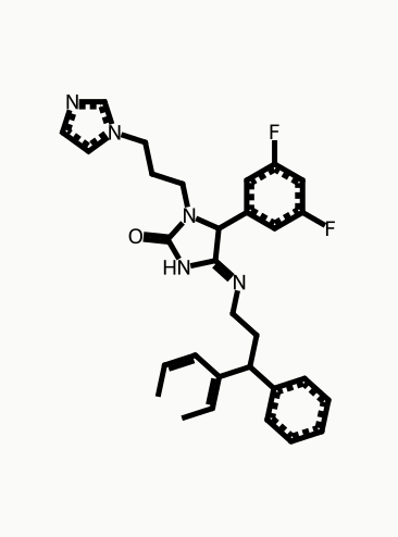 C/C=C\C(=C/C)C(CC/N=C1\NC(=O)N(CCCn2ccnc2)C1c1cc(F)cc(F)c1)c1ccccc1